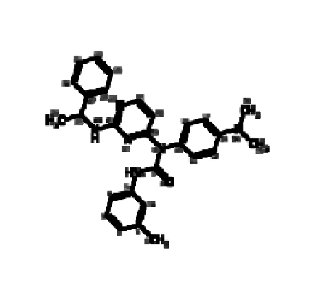 Cc1cccc(NC(=O)N(c2ccc(N(C)C)cc2)c2ccnc(NC(C)c3ccccc3)n2)c1